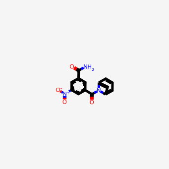 NC(=O)c1cc(C(=O)N2C3=CC=CC2=C3)cc([N+](=O)[O-])c1